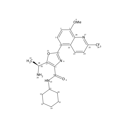 COc1ccc(-c2nc(C(=O)NC3CCCCC3)c([C@H](C)N)o2)c2ccc(C(F)(F)F)nc12